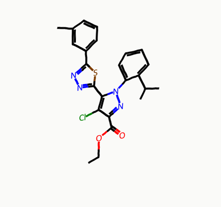 CCOC(=O)c1nn(-c2ccccc2C(C)C)c(-c2nnc(-c3cccc(C)c3)s2)c1Cl